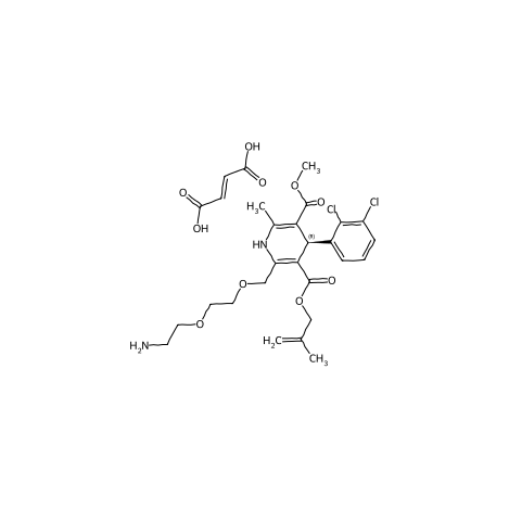 C=C(C)COC(=O)C1=C(COCCOCCN)NC(C)=C(C(=O)OC)[C@H]1c1cccc(Cl)c1Cl.O=C(O)C=CC(=O)O